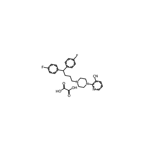 N#Cc1cccnc1N1CCN(CCCC(c2ccc(F)cc2)c2ccc(F)cc2)CC1.O=C(O)C(=O)O